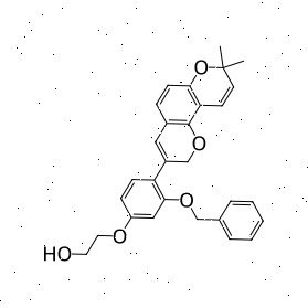 CC1(C)C=Cc2c(ccc3c2OCC(c2ccc(OCCO)cc2OCc2ccccc2)=C3)O1